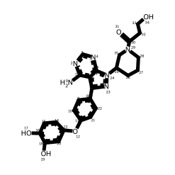 Nc1ncnc2c1c(-c1ccc(Oc3ccc(O)c(O)c3)cc1)nn2C1CCCN(C(=O)CCO)C1